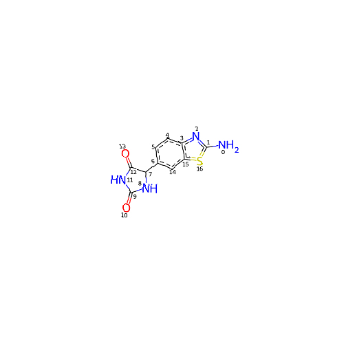 Nc1nc2ccc(C3NC(=O)NC3=O)cc2s1